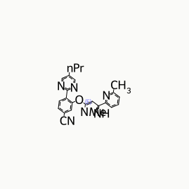 CCCc1cnc(-c2ccc(C#N)cc2O/C(=C/C(=N)c2cccc(C)n2)NC)nc1